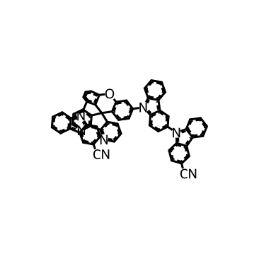 N#Cc1ccc2c(c1)c1ccccc1n2-c1ccc2c(c1)c1ccccc1n2-c1ccc2c(c1)Oc1cccc(-n3c4ccccc4c4cc(C#N)ccc43)c1C21c2cccnc2-c2ncccc21